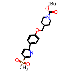 CC(C)(C)OC(=O)N1CCC(COc2ccc(-c3ccc(S(C)(=O)=O)cn3)cc2)CC1